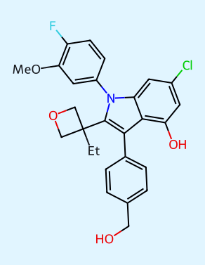 CCC1(c2c(-c3ccc(CO)cc3)c3c(O)cc(Cl)cc3n2-c2ccc(F)c(OC)c2)COC1